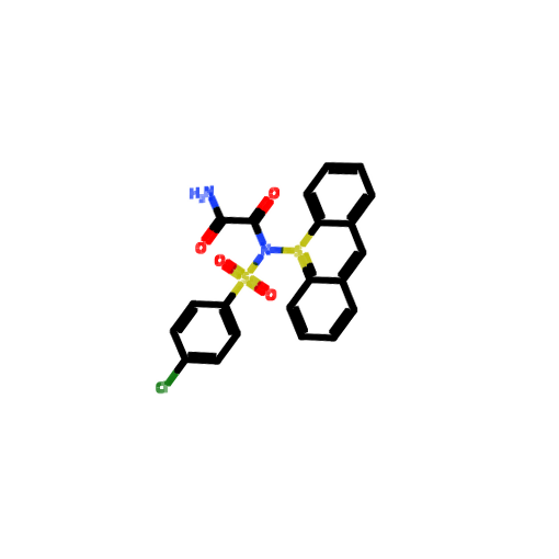 NC(=O)C(=O)N(S1=c2ccccc2=Cc2ccccc21)S(=O)(=O)c1ccc(Cl)cc1